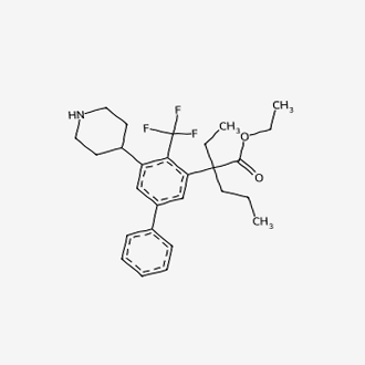 CCCC(CC)(C(=O)OCC)c1cc(-c2ccccc2)cc(C2CCNCC2)c1C(F)(F)F